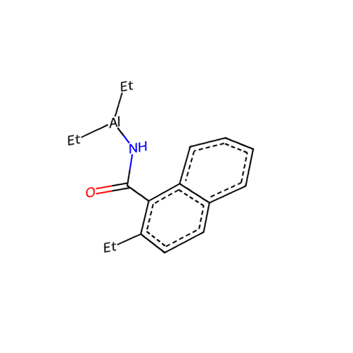 CCc1ccc2ccccc2c1C(=O)[NH][Al]([CH2]C)[CH2]C